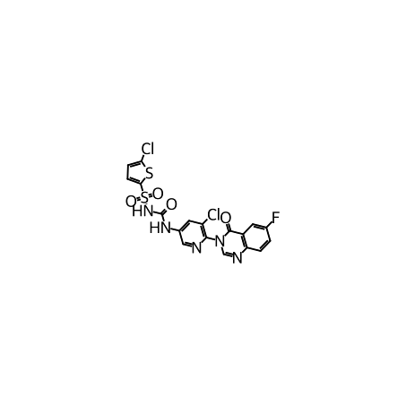 O=C(Nc1cnc(-n2cnc3ccc(F)cc3c2=O)c(Cl)c1)NS(=O)(=O)c1ccc(Cl)s1